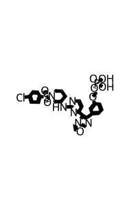 O=P(O)(O)OCOc1cccc(-c2nc3occn3c2-c2ccnc(NC3CCCN(S(=O)(=O)c4ccc(Cl)cc4)C3)n2)c1